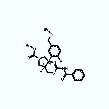 CC(C)OCc1ccc(F)c([C@]23CN(C(=O)OC(C)(C)C)C[C@H]2CSC(NC(=O)c2ccccc2)=N3)c1